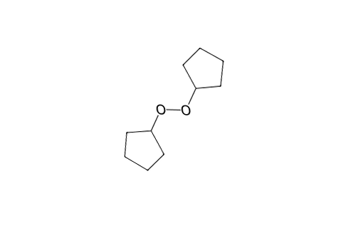 C1CCC(OOC2CCCC2)C1